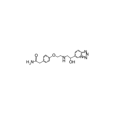 NC(=O)Cc1ccc(OCCNCC(O)c2ccc3nnnn3c2)cc1